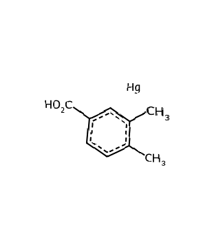 Cc1ccc(C(=O)O)cc1C.[Hg]